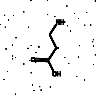 [NH]C[CH]C(=O)O